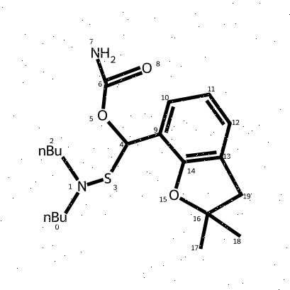 CCCCN(CCCC)SC(OC(N)=O)c1cccc2c1OC(C)(C)C2